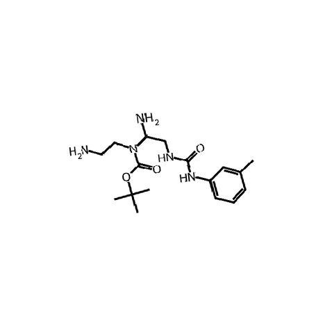 Cc1cccc(NC(=O)NCC(N)N(CCN)C(=O)OC(C)(C)C)c1